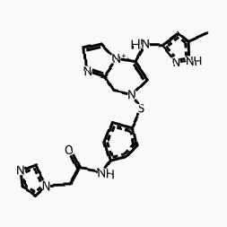 Cc1cc(NC2=CN(Sc3ccc(NC(=O)Cn4ccnc4)cc3)CC3=NC=C[N+]23)n[nH]1